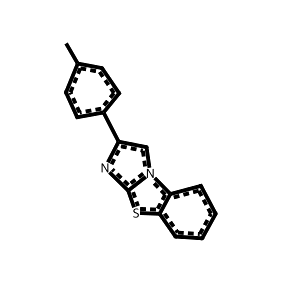 Cc1ccc(-c2cn3c(n2)sc2ccccc23)cc1